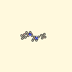 Cc1cc(-c2ccc(N(c3ccc(-c4ccc5c(c4)C(c4ccccc4)(c4ccccc4)c4ccccc4-5)cc3)c3c(C)cccc3-c3cccc4ccccc34)c(C)c2)ccc1N(c1ccc(-c2ccc3c(c2)C(c2ccccc2)(c2ccccc2)c2ccccc2-3)cc1)c1c(C)cccc1-c1cccc2ccccc12